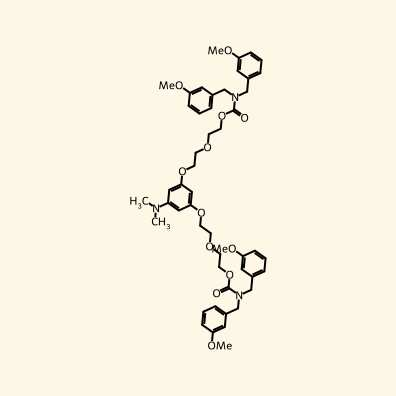 COc1cccc(CN(Cc2cccc(OC)c2)C(=O)OCCOCCOc2cc(OCCOCCOC(=O)N(Cc3cccc(OC)c3)Cc3cccc(OC)c3)cc(N(C)C)c2)c1